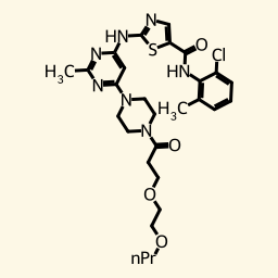 CCCOCCOCCC(=O)N1CCN(c2cc(Nc3ncc(C(=O)Nc4c(C)cccc4Cl)s3)nc(C)n2)CC1